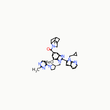 COc1cc(C(=O)N2CC3CC4CC2[C@H]43)cc2nc(-c3cc4cccnc4n3CC3CC3)n(C[C@H]3CCN(c4ccnc(C)n4)C3)c12